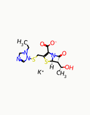 CCN1CN=CN1SCC1=C(C(=O)[O-])N2C(=O)[C@H]([C@@H](C)O)[C@H]2S1.[K+]